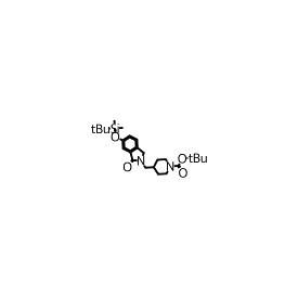 CC(C)(C)OC(=O)N1CCC(CN2Cc3ccc(O[Si](C)(C)C(C)(C)C)cc3C2=O)CC1